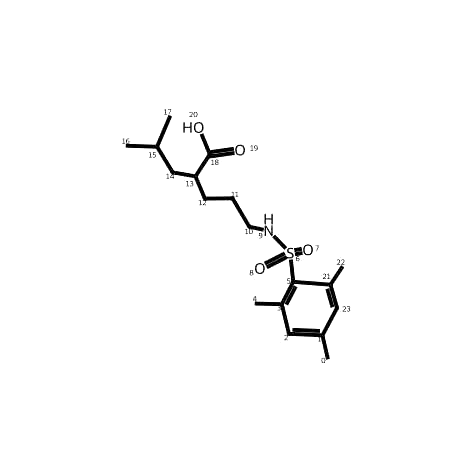 Cc1cc(C)c(S(=O)(=O)NCCCC(CC(C)C)C(=O)O)c(C)c1